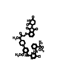 COc1cc(N2CCC(N(C)C(=O)CSc3cccc4c3C(=O)N(C3CCC(=O)NC3=O)C4=O)CC2)ccc1Nc1ncc(Cl)c(Nc2ccccc2P(C)(C)=O)n1